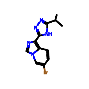 CC(C)c1nnc(-c2ncn3cc(Br)ccc23)[nH]1